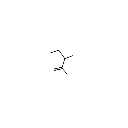 O=C(O)C(CO)C(=O)F